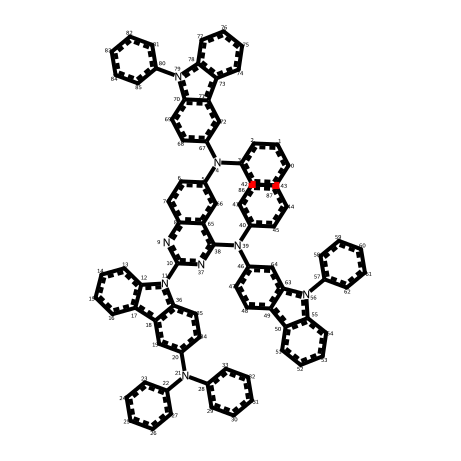 c1ccc(N(c2ccc3nc(-n4c5ccccc5c5cc(N(c6ccccc6)c6ccccc6)ccc54)nc(N(c4ccccc4)c4ccc5c6ccccc6n(-c6ccccc6)c5c4)c3c2)c2ccc3c(c2)c2ccccc2n3-c2ccccc2)cc1